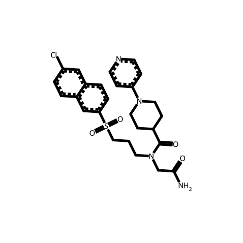 NC(=O)CN(CCCS(=O)(=O)c1ccc2cc(Cl)ccc2c1)C(=O)C1CCN(c2ccncc2)CC1